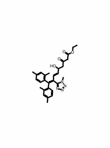 CCOC(=O)CC(=O)CC(O)C=CC(=C(c1ccc(C)cc1C)c1ccc(C)cc1C)c1nnnn1C